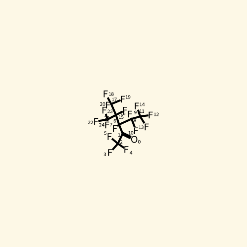 O=C(C(F)(F)F)C(F)(C(F)(F)C(F)(F)F)C(F)(C(F)(F)F)C(F)(F)F